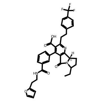 CCC1CC[C@H]2c3nc(CCc4ccc(C(F)(F)F)cc4)c(C(=O)O)c(-c4cccc(C(=O)NCCc5ccco5)c4)c3C(=O)N12